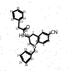 N#Cc1ccc2c(c1)CC(NC(=O)Cc1ccccc1)CN2Cc1ccccc1